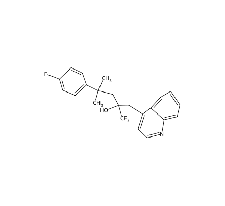 CC(C)(CC(O)(Cc1ccnc2ccccc12)C(F)(F)F)c1ccc(F)cc1